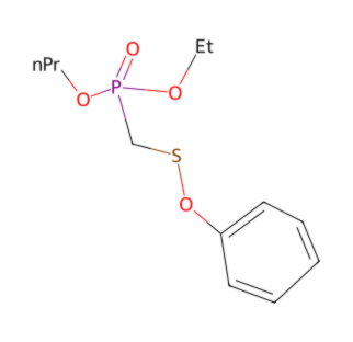 CCCOP(=O)(CSOc1ccccc1)OCC